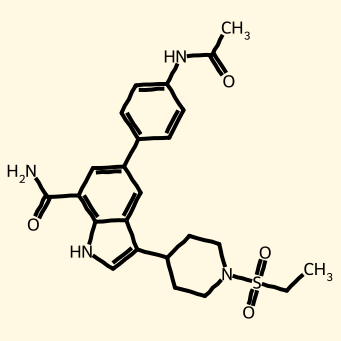 CCS(=O)(=O)N1CCC(c2c[nH]c3c(C(N)=O)cc(-c4ccc(NC(C)=O)cc4)cc23)CC1